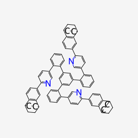 c1ccc(-c2cc(-c3ccccc3-c3ccc(-c4ccc5c(c4)C4CCC5CC4)nc3)cc(-c3ccccc3-c3ccc(-c4ccc5c(c4)C4CCC5CC4)nc3)c2)c(-c2ccc(-c3ccc4c(c3)C3CCC4CC3)nc2)c1